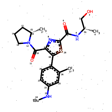 C[C@@H](CO)NC(=O)c1nc(C(=O)N2CCC[C@@H]2C)c(-c2ccc(NC(C)(C)C)cc2C(F)(F)F)s1